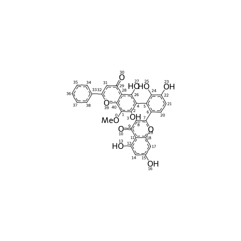 COc1c(O)c(-c2c(-c3cc(=O)c4c(O)cc(O)cc4o3)ccc(O)c2O)c(O)c2c(=O)cc(-c3ccccc3)oc12